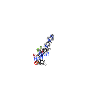 Cc1ccc(Nc2nc(Nc3cc(C)c(N4CCC(N5CCN(C)CC5)CC4)cc3OC(F)F)ncc2Br)c(P(C)(C)=O)c1